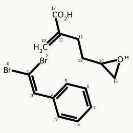 BrC(Br)=Cc1ccccc1.C=C(CCC1CO1)C(=O)O